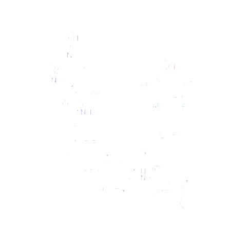 Cn1cnc(S(=O)(=O)NCc2ccc3c(c2)[C@H](Cc2ccccc2)[C@H](NCC2CC2)CO3)c1.O=C(O)C(F)(F)F